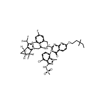 CCC(C)(C)CCOc1ccc2c(=O)n(-c3ccc(Cl)c4c(NS(C)(=O)=O)nn(C)c34)c([C@H](Cc3cc(F)cc(F)c3)NC(=O)Cn3nc(C(F)F)c4c3C(F)(F)[C@@H]3C[C@H]43)nc2n1